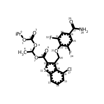 CC(C)OC(=O)OC(C)OC(=O)c1sc2cccc(Cl)c2c1COc1c(F)cc(C(N)=O)cc1F